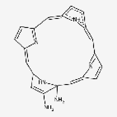 NC1=CC2C=C3C=CC(=N3)C=c3ccc([nH]3)=CC3=NC(=CC1(N)N2)C=C3